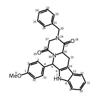 COc1ccc(C2c3[nH]c4ccccc4c3CC3C(=O)N(Cc4ccccc4)CC(=O)N32)cc1